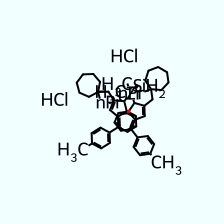 CCCC1(CC2=Cc3c(-c4ccc(C)cc4)cccc3[CH]2[Zr]([CH3])([CH3])(=[SiH2])[CH]2C(CC3(CCC)CCCCCC3)=Cc3c(-c4ccc(C)cc4)cccc32)CCCCCC1.Cl.Cl